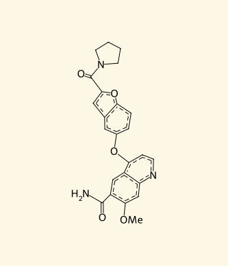 COc1cc2nccc(Oc3ccc4oc(C(=O)N5CCCC5)cc4c3)c2cc1C(N)=O